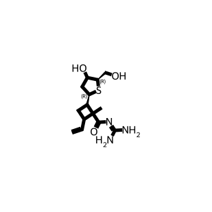 C=CC1CC([C@H]2CC(O)[C@@H](CO)S2)C1(C)C(=O)N=C(N)N